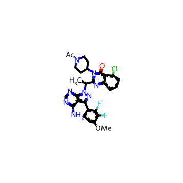 COc1ccc(-c2nn(C(C)c3nc4cccc(Cl)c4c(=O)n3C3CCN(C(C)=O)CC3)c3ncnc(N)c23)c(F)c1F